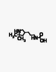 CC1(C)CC(CCCNC(=O)O)CN1